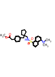 COC(=O)Cc1ccc(CC2(CNS(=O)(=O)c3cccc4c(N(C)C)cccc34)CCCC2)cc1